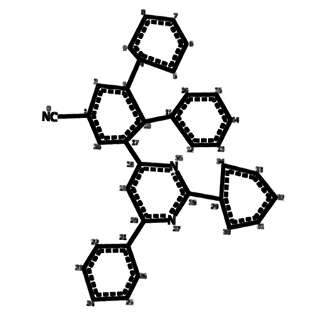 N#Cc1cc(-c2ccccc2)c(-c2ccccc2)c(-c2cc(-c3ccccc3)nc(-c3ccccc3)n2)c1